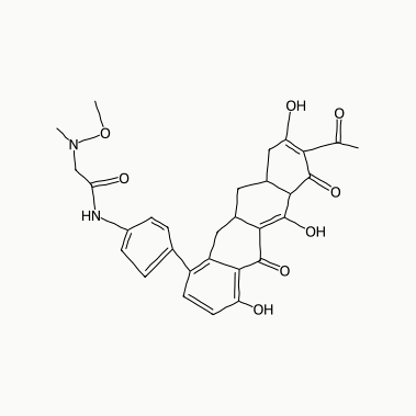 CON(C)CC(=O)Nc1ccc(-c2ccc(O)c3c2CC2CC4CC(O)=C(C(C)=O)C(=O)C4C(O)=C2C3=O)cc1